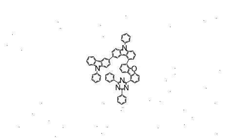 c1ccc(-c2nc(-c3ccccc3)nc(-c3cccc4oc5c(-c6cccc7c6c6cc(-c8ccc9c(c8)c8ccccc8n9-c8ccccc8)ccc6n7-c6ccccc6)cccc5c34)n2)cc1